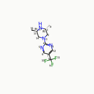 C[C@@H]1CN(c2ncc(C(F)(F)F)cn2)C[C@@H](C)N1